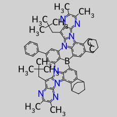 Cc1nc2c(CC(C)(C)C)c3n4c5c(cc6c(c5n3c2nc1C)C1CCC6CC1)B1c2c-4cc(-c3ccccc3)cc2-n2c3c1cc1c(c3n3c4nc(C)c(C)nc4c(CC(C)(C)C)c23)C2CCC1CC2